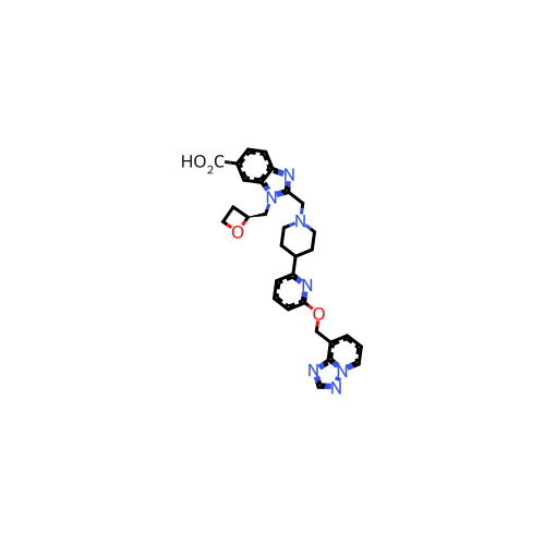 O=C(O)c1ccc2nc(CN3CCC(c4cccc(OCc5cccn6ncnc56)n4)CC3)n(C[C@@H]3CCO3)c2c1